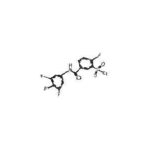 CCS(=O)(=O)c1cc(C(=O)Nc2cc(F)c(F)c(F)c2)ccc1F